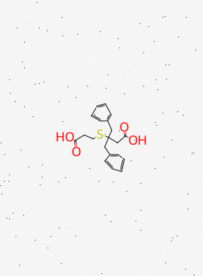 O=C(O)CCSC(CC(=O)O)(Cc1ccccc1)Cc1ccccc1